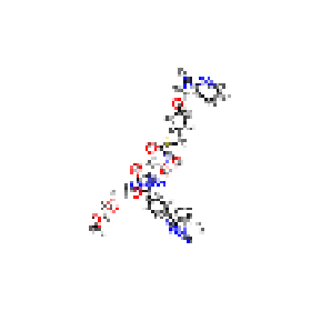 CCOCCOCCCNC(=O)[C@@H](CC(=O)N1C(=O)SC(Cc2ccc(OCCN(C)c3ccccn3)cc2)C1=O)NC(=O)c1ccc(C2(C(F)(F)F)N=N2)cc1